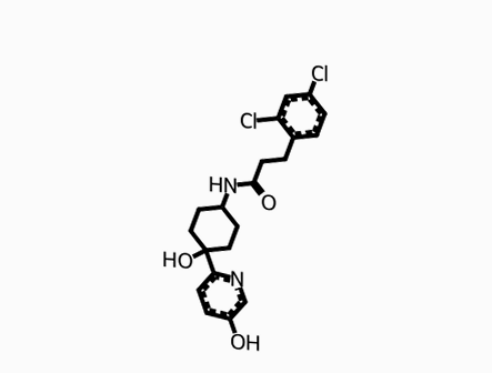 O=C(CCc1ccc(Cl)cc1Cl)NC1CCC(O)(c2ccc(O)cn2)CC1